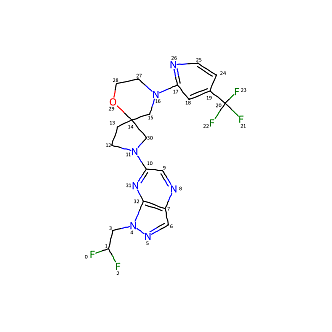 FC(F)Cn1ncc2ncc(N3CCC4(CN(c5cc(C(F)(F)F)ccn5)CCO4)C3)nc21